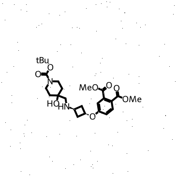 COC(=O)c1ccc(O[C@H]2C[C@H](NCC3(O)CCN(C(=O)OC(C)(C)C)CC3)C2)cc1C(=O)OC